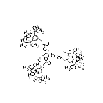 CC(C)(C)c1cc(CCOCOCC(COC=O)(COC(=O)CCc2cc(C(C)(C)C)c(O)c(C(C)(C)C)c2)COC(=O)CCc2cc(C(C)(C)C)c(O)c(C(C)(C)C)c2)cc(C(C)(C)C)c1O